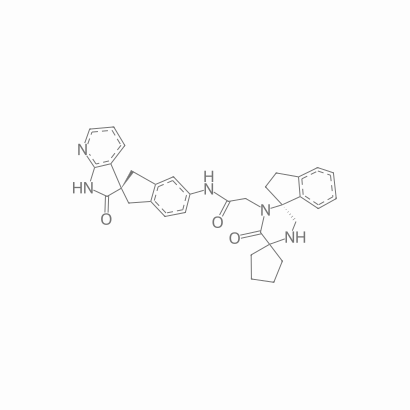 O=C(CN1C(=O)C2(CCCC2)NC[C@@]12CCc1ccccc12)Nc1ccc2c(c1)C[C@@]1(C2)C(=O)Nc2ncccc21